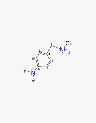 [CH2-][NH2+]Cc1ccc(N(C)C)cc1